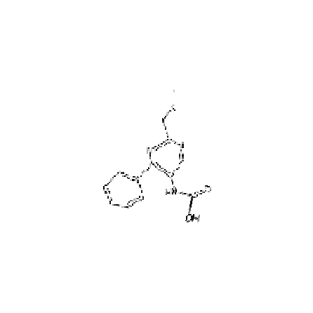 CSCc1ncc(NC(=O)O)c(-c2ccccc2)n1